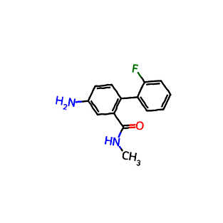 CNC(=O)c1cc(N)ccc1-c1ccccc1F